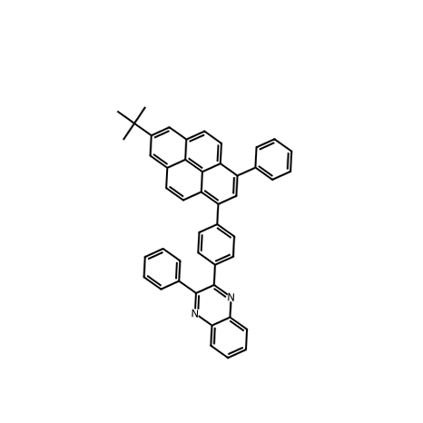 CC(C)(C)c1cc2ccc3c(-c4ccccc4)cc(-c4ccc(-c5nc6ccccc6nc5-c5ccccc5)cc4)c4ccc(c1)c2c34